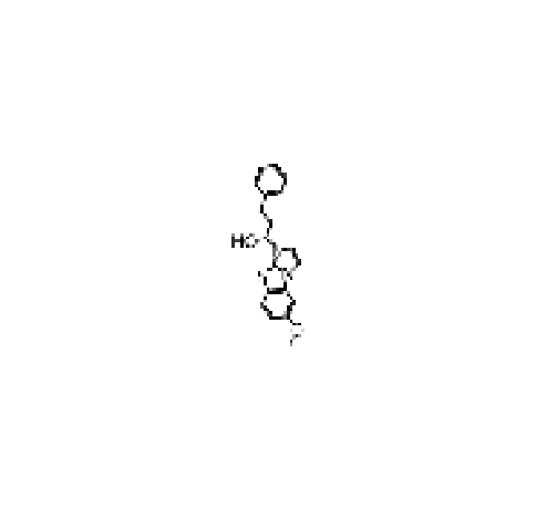 COc1ccc2c(c1)N1C=CN(C(O)CCc3ccccc3)C1S2